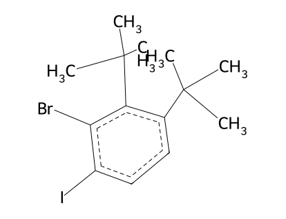 CC(C)(C)c1ccc(I)c(Br)c1C(C)(C)C